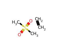 C=C.CS(C)(=O)=O